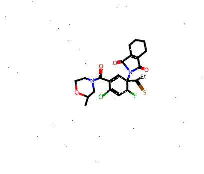 CCC(=S)C1(N2C(=O)C3=C(CCCC3)C2=O)C=C(C(=O)N2CCOC(C)C2)C(Cl)=CC1F